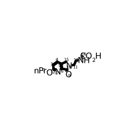 CCCOc1ccc2c(n1)C(=O)N(CCNC(=O)O)C2